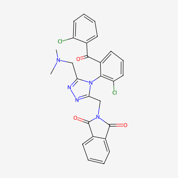 CN(C)Cc1nnc(CN2C(=O)c3ccccc3C2=O)n1-c1c(Cl)cccc1C(=O)c1ccccc1Cl